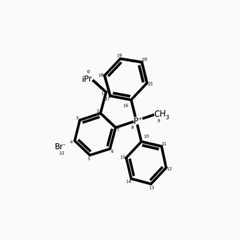 CC(C)Cc1ccccc1[P+](C)(c1ccccc1)c1ccccc1.[Br-]